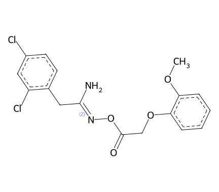 COc1ccccc1OCC(=O)O/N=C(\N)Cc1ccc(Cl)cc1Cl